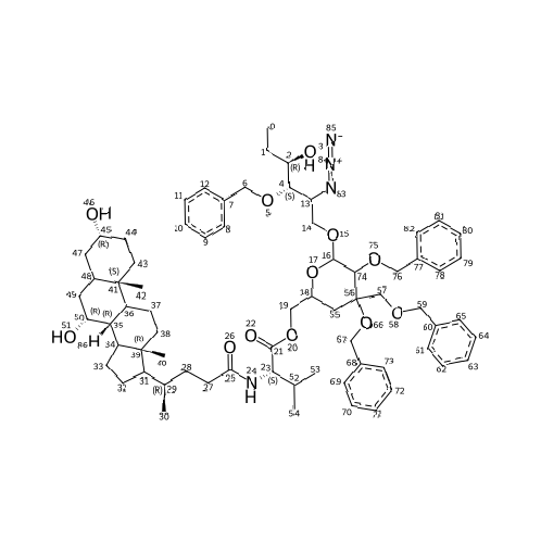 CC[C@@H](O)[C@@H](OCc1ccccc1)C(COC1OC(COC(=O)[C@@H](NC(=O)CC[C@@H](C)C2CCC3[C@H]4C(CC[C@@]32C)[C@@]2(C)CC[C@@H](O)CC2C[C@H]4O)C(C)C)CC(COCc2ccccc2)(OCc2ccccc2)C1OCc1ccccc1)N=[N+]=[N-]